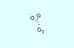 O=C(Nc1ccc2c(c1)C(F)(F)C(F)(F)O2)N1CC(c2ccc3c(c2)OCO3)C(c2ccccc2)=N1